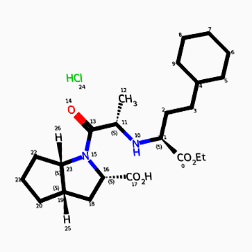 CCOC(=O)[C@H](CCC1CCCCC1)N[C@@H](C)C(=O)N1[C@H](C(=O)O)C[C@@H]2CCC[C@@H]21.Cl